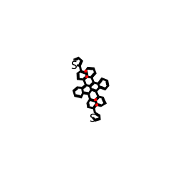 c1ccc(-c2c3ccccc3c(-c3ccccc3)c3c(-c4ccc(-c5cccs5)cc4)c4ccccc4c(-c4ccc(-c5cccs5)cc4)c23)cc1